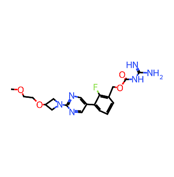 COCCOC1CN(c2ncc(-c3cccc(COC(=O)NC(=N)N)c3F)cn2)C1